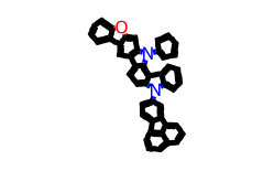 c1ccc(-n2c3cc4oc5ccccc5c4cc3c3ccc4c(c5ccccc5n4-c4ccc5c(c4)-c4cccc6cccc-5c46)c32)cc1